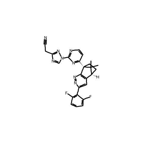 CC1(C)[C@H]2CC[C@]1(c1ccnc(-n3cnc(CC#N)n3)n1)c1nnc(-c3c(F)cccc3F)cc12